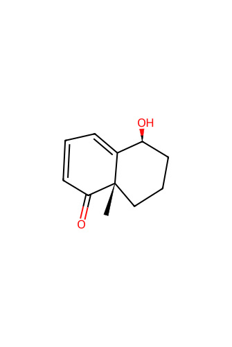 C[C@]12CCC[C@H](O)C1=CC=CC2=O